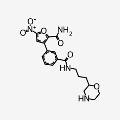 NC(=O)c1oc([N+](=O)[O-])cc1-c1cccc(C(=O)NCCCC2CNCCO2)c1